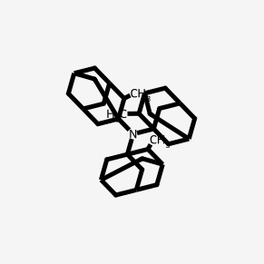 CC1C2CC3CC(C2)CC1(N(C12CC4CC(CC(C4)C1C)C2)C12CC4CC(CC(C4)C1C)C2)C3